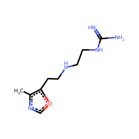 Cc1ncoc1CCNCCNC(=N)N